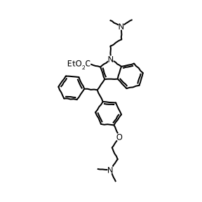 CCOC(=O)c1c(C(c2ccccc2)c2ccc(OCCN(C)C)cc2)c2ccccc2n1CCN(C)C